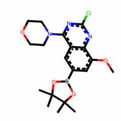 COc1cc(B2OC(C)(C)C(C)(C)O2)cc2c(N3CCOCC3)nc(Cl)nc12